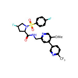 COc1cnc(CNC(=O)C2CC(F)CN2S(=O)(=O)c2ccc(F)cc2)cc1-c1ccc(C(F)(F)F)nc1